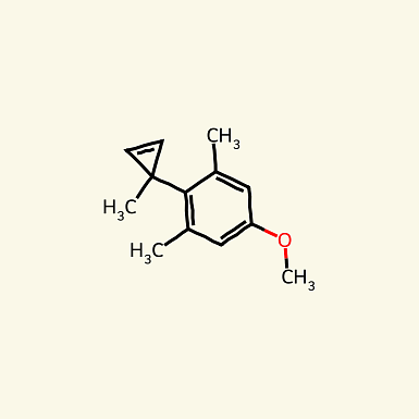 COc1cc(C)c(C2(C)C=C2)c(C)c1